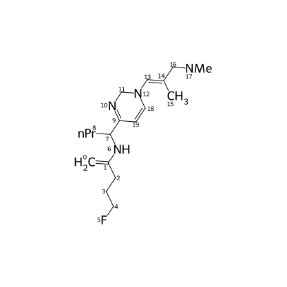 C=C(CCCF)NC(CCC)C1=NCN(/C=C(\C)CNC)C=C1